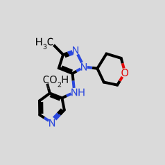 Cc1cc(Nc2cnccc2C(=O)O)n(C2CCOCC2)n1